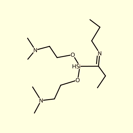 CCCN=C(CC)[SiH](OCCN(C)C)OCCN(C)C